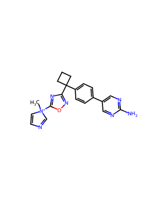 C[N+]1(c2nc(C3(c4ccc(-c5cnc(N)nc5)cc4)CCC3)no2)C=CN=C1